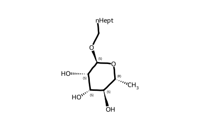 CCCCCCCCO[C@H]1O[C@H](C)[C@@H](O)[C@H](O)[C@@H]1O